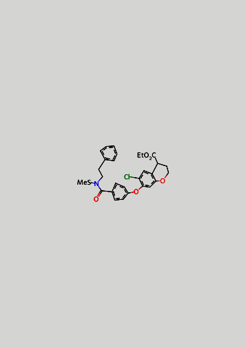 CCOC(=O)C1CCOc2cc(Oc3ccc(C(=O)N(CCc4ccccc4)SC)cc3)c(Cl)cc21